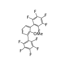 COc1c(-c2c(F)c(F)c(F)c(F)c2F)cccc1-c1c(F)c(F)c(F)c(F)c1F